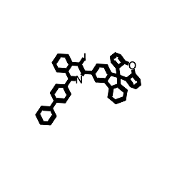 Ic1c(-c2ccc3c(c2)-c2ccccc2C32c3ccccc3Oc3ccccc32)nc(-c2ccc(-c3ccccc3)cc2)c2ccccc12